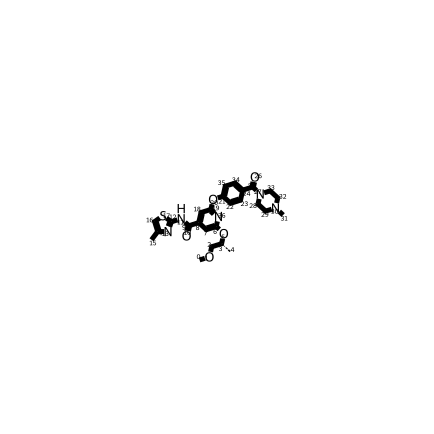 COC[C@@H](C)Oc1cc(C(=O)Nc2nc(C)cs2)cc(Oc2ccc(C(=O)N3CCN(C)CC3)cc2)n1